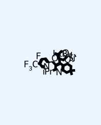 CC(C)c1nc2c(c3c1[C@@H](c1cc(F)c(C(F)(F)F)cn1)OC31CCOCC1I)[C@@H](O[Si](C)(C)C(C)(C)C)CC(C)(C)C2